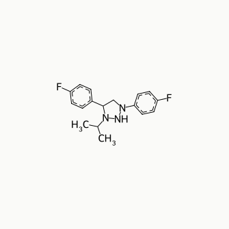 CC(C)N1NN(c2ccc(F)cc2)CC1c1ccc(F)cc1